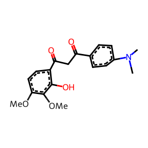 COc1ccc(C(=O)CC(=O)c2ccc(N(C)C)cc2)c(O)c1OC